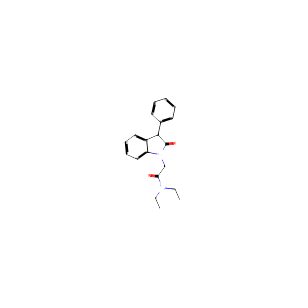 CCN(CC)C(=O)CN1C(=O)C(c2ccccc2)c2ccccc21